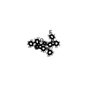 Fc1ccc(-n2c3ccccc3c3cc(N(c4ccccc4)c4ccc5c(c4)C4(c6ccccc6Oc6ccc(-c7ccccc7)cc64)c4ccccc4-5)ccc32)cc1